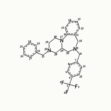 FC(F)(F)c1ccc(CN2Cc3ccccc3N3CCN(Cc4ccccc4)CC3C2)cc1